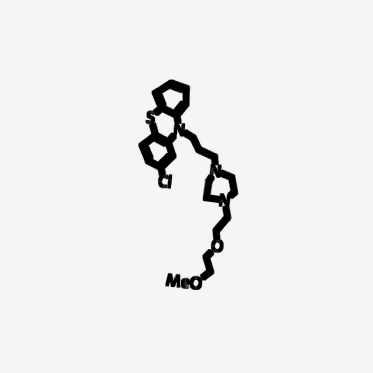 COCCOCCN1CCN(CCCN2c3ccccc3Sc3ccc(Cl)cc32)CC1